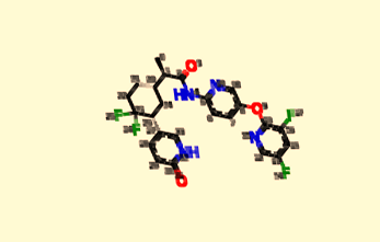 C[C@@H](C(=O)Nc1ccc(Oc2ncc(F)cc2F)cn1)[C@H]1CCC(F)(F)[C@@H](c2ccc(=O)[nH]c2)C1